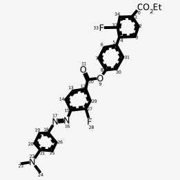 CCOC(=O)c1ccc(-c2ccc(OC(=O)c3ccc(/N=N/c4ccc(N(C)C)cc4)c(F)c3)cc2)c(F)c1